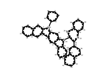 c1ccc(-n2c3cc4ccccc4cc3c3cc4c5ccccc5n(-c5nc6ccccc6nc5-c5ccc6ccccc6c5)c4cc32)cc1